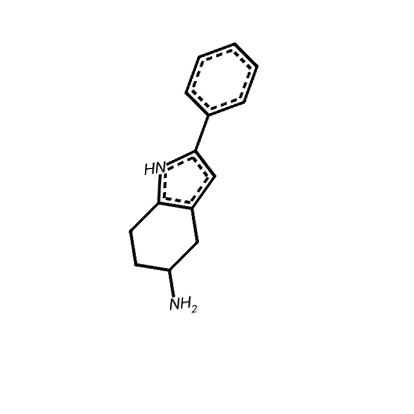 NC1CCc2[nH]c(-c3ccccc3)cc2C1